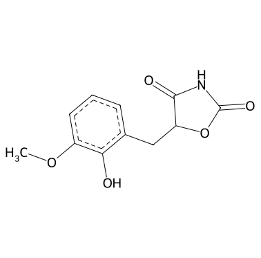 COc1cccc(CC2OC(=O)NC2=O)c1O